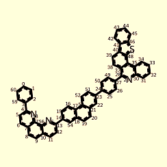 c1ccc(-c2ccc3ccc4ccc(-c5ccc6c(ccc7cc(-c8ccc(-c9nc%10ccccc%10c%10c9ccc9c%11ccccc%11sc9%10)cc8)ccc76)c5)nc4c3n2)cc1